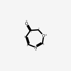 O=C1C=CN=COC1